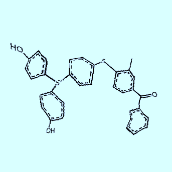 Cc1cc(C(=O)c2ccccc2)ccc1Sc1ccc([S+](c2ccc(O)cc2)c2ccc(O)cc2)cc1